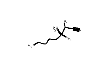 CCCCCC(N)(N)C(C)C#N